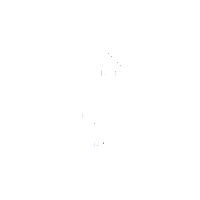 OC1(CCCc2cccc3nnnn23)CCNCC1